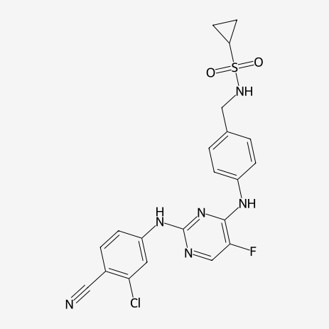 N#Cc1ccc(Nc2ncc(F)c(Nc3ccc(CNS(=O)(=O)C4CC4)cc3)n2)cc1Cl